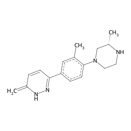 C=C1C=CC(c2ccc(N3CCN[C@@H](C)C3)c(C)c2)=NN1